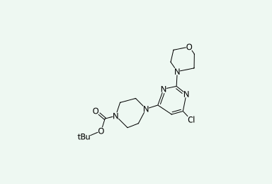 CC(C)(C)OC(=O)N1CCN(c2cc(Cl)nc(N3CCOCC3)n2)CC1